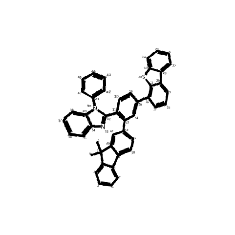 CC1(C)c2ccccc2-c2ccc(-c3cc(-c4cccc5c4sc4ccccc45)ccc3-c3nc4ccccc4n3-c3ccccc3)cc21